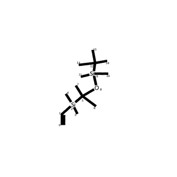 C=C[Si](C)(C)C(C)(C)O[Si](C)(C)C(C)(C)C